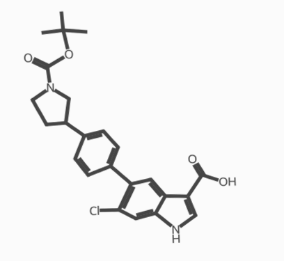 CC(C)(C)OC(=O)N1CCC(c2ccc(-c3cc4c(C(=O)O)c[nH]c4cc3Cl)cc2)C1